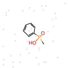 CP(=O)(O)c1ccccc1